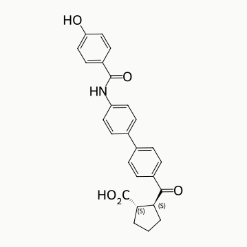 O=C(Nc1ccc(-c2ccc(C(=O)[C@H]3CCC[C@@H]3C(=O)O)cc2)cc1)c1ccc(O)cc1